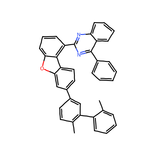 Cc1ccccc1-c1cc(-c2ccc3c(c2)oc2cccc(-c4nc(-c5ccccc5)c5ccccc5n4)c23)ccc1C